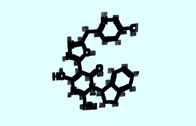 CCCCc1nc(O)c(-c2nnc(Cc3ccc(Cl)cn3)o2)c(=O)n1[C@@H]1CCc2ccccc21